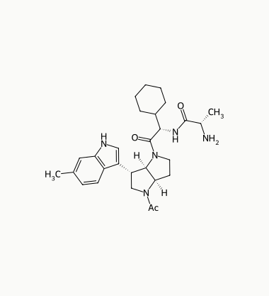 CC(=O)N1C[C@H](c2c[nH]c3cc(C)ccc23)[C@@H]2[C@H]1CCN2C(=O)[C@@H](NC(=O)[C@H](C)N)C1CCCCC1